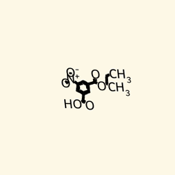 CCC(C)OC(=O)c1cc(C(=O)O)cc([N+](=O)[O-])c1